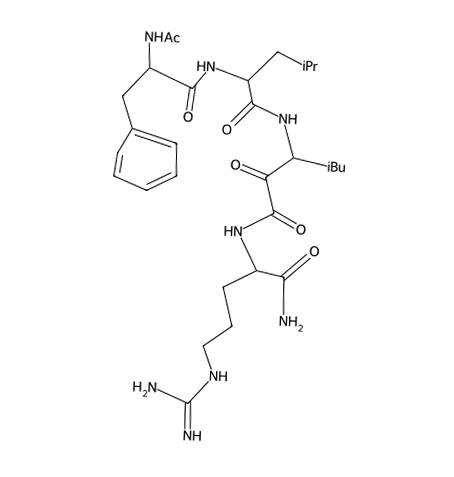 CCC(C)C(NC(=O)C(CC(C)C)NC(=O)C(Cc1ccccc1)NC(C)=O)C(=O)C(=O)NC(CCCNC(=N)N)C(N)=O